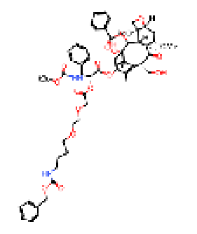 CO[C@H]1C[C@H]2OC[C@@]2(OC(C)=O)[C@H]2[C@H](OC(=O)c3ccccc3)[C@]3(O)C[C@H](OC(=O)[C@H](OC(=O)COCCOCCCCNC(=O)OCc4ccccc4)[C@@H](NC(=O)OC(C)(C)C)c4ccccc4)C(C)=C([C@@H](CO)C(=O)[C@]12C)C3(C)C